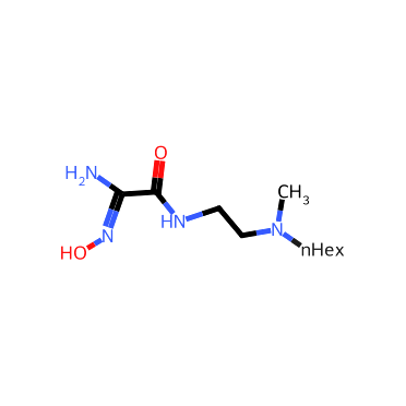 CCCCCCN(C)CCNC(=O)C(N)=NO